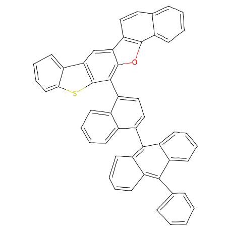 c1ccc(-c2c3ccccc3c(-c3ccc(-c4c5oc6c7ccccc7ccc6c5cc5c4sc4ccccc45)c4ccccc34)c3ccccc23)cc1